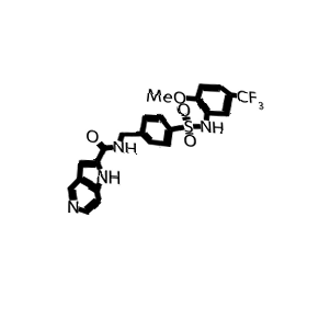 COc1ccc(C(F)(F)F)cc1NS(=O)(=O)c1ccc(CNC(=O)c2cc3cnccc3[nH]2)cc1